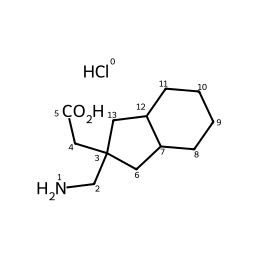 Cl.NCC1(CC(=O)O)CC2CCCCC2C1